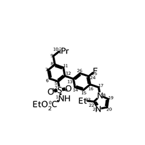 CCOC(=O)NS(=O)(=O)c1ccc(CC(C)C)cc1-c1ccc(Cn2ccnc2CC)c(F)c1